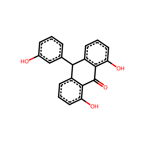 O=C1c2c(O)cccc2C(c2cccc(O)c2)c2cccc(O)c21